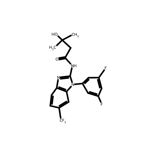 CC(C)(O)CC(=O)Nc1nc2ccc(C(F)(F)F)cc2n1-c1cc(F)cc(F)c1